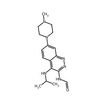 CC(C)Nc1c(NC=O)nnc2cc(N3CCN(C)CC3)ccc12